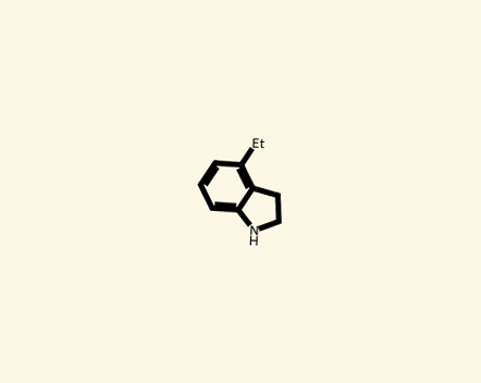 [CH2]Cc1cccc2c1CCN2